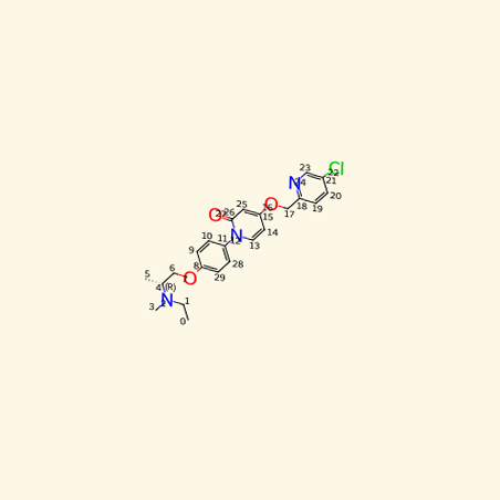 CCN(C)[C@H](C)COc1ccc(-n2ccc(OCc3ccc(Cl)cn3)cc2=O)cc1